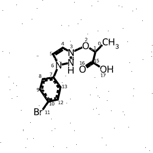 CC(ON1C=CN(c2ccc(Br)cc2)N1)C(=O)O